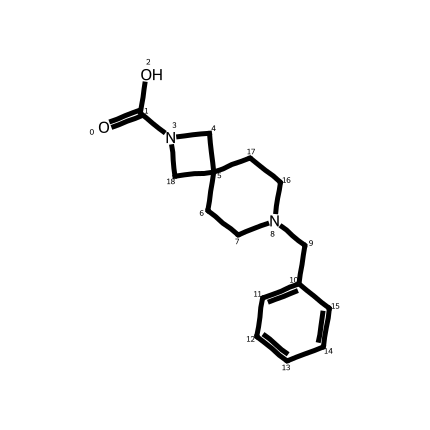 O=C(O)N1CC2(CCN(Cc3ccccc3)CC2)C1